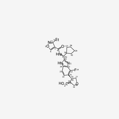 CCc1nocc1C(=O)N[C@H](c1nc2c(F)c([C@H]3COC[C@H]3C(=O)O)ccc2[nH]1)C1CCCC1